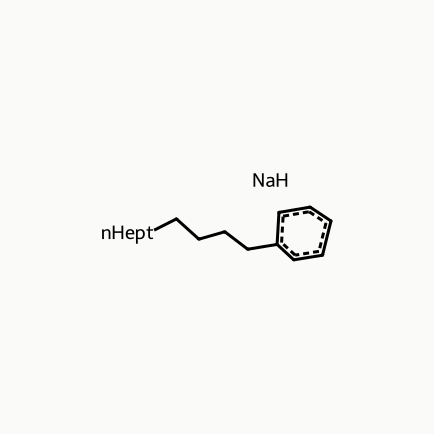 CCCCCCCCCCCc1ccccc1.[NaH]